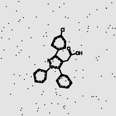 O=C(O)Cc1c(-c2ccc(Cl)cc2)nn(-c2ccccc2)c1-c1ccccc1